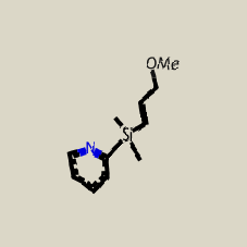 COCC=C[Si](C)(C)c1ccccn1